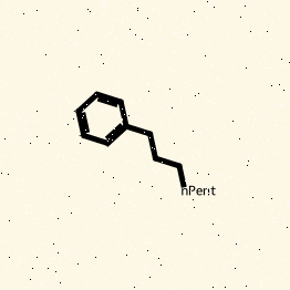 CCCCCCCCc1[c][c][c]cc1